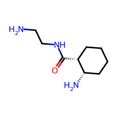 NCCNC(=O)[C@@H]1CCCC[C@@H]1N